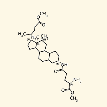 COC(=O)CCC(C)[C@H]1CCC2C3CCC4C[C@@H](NC(=O)CC[C@H](N)C(=O)OC)CCC4C3C[C@H](C)[C@@]21C